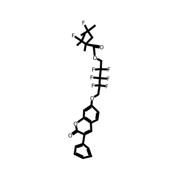 CC(C)(F)CC(C)(C(=O)OCC(F)(F)C(F)(F)C(F)(F)COc1ccc2cc(-c3ccccc3)c(=O)oc2c1)C(C)(C)F